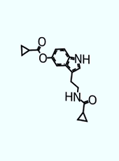 O=C(NCCc1c[nH]c2ccc(OC(=O)C3CC3)cc12)C1CC1